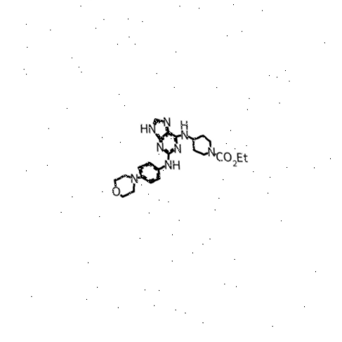 CCOC(=O)N1CCC(Nc2nc(Nc3ccc(N4CCOCC4)cc3)nc3[nH]cnc23)CC1